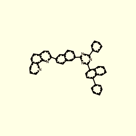 c1ccc(-c2nc(-c3ccc4cc(-c5ccc6ccc7cccnc7c6n5)ccc4c3)nc(-c3ccc(-c4ccccc4)c4ccccc34)n2)cc1